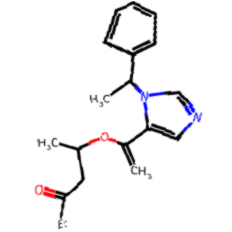 C=C(OC(C)CC(=O)CC)c1cncn1C(C)c1ccccc1